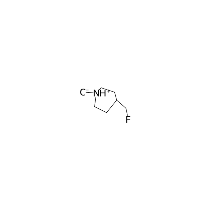 [CH2-][NH+]1CCC(CF)CC1